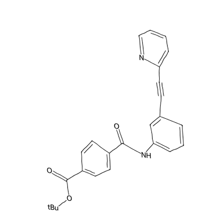 CC(C)(C)OC(=O)c1ccc(C(=O)Nc2cccc(C#Cc3ccccn3)c2)cc1